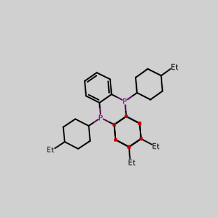 CCC1CCC(P(c2ccccc2P(C2CCC(CC)CC2)C2CCC(CC)CC2)C2CCC(CC)CC2)CC1